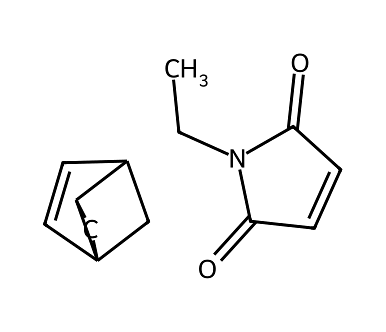 C1=CC23CC1C2C3.CCN1C(=O)C=CC1=O